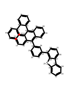 c1ccc(-c2ccccc2-c2c3ccccc3c(-c3cccc(-c4cccc5c4sc4ccccc45)c3)c3ccccc23)cc1